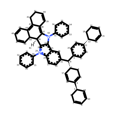 C1=CC[C@@H](C2=CC[C@@H](C(c3ccc([C@H]4C=CC=CC4)cc3)c3ccc4c(c3)c3c(n4-c4ccccc4)[C@@H]4C(=C5C=CCCC5=C5C=CC=CC54)N3c3ccccc3)C=C2)C=C1